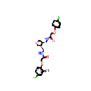 N#Cc1cc(Cl)ccc1OCC(=O)NC[C@H]1COC[C@H]1CNC(=O)COc1ccc(Cl)cc1